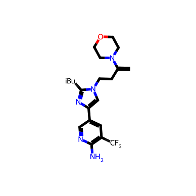 C=C(CCn1cc(-c2cnc(N)c(C(F)(F)F)c2)nc1C(C)CC)N1CCOCC1